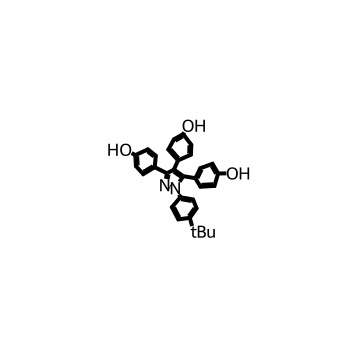 CC(C)(C)c1ccc(-n2nc(-c3ccc(O)cc3)c(-c3ccc(O)cc3)c2-c2ccc(O)cc2)cc1